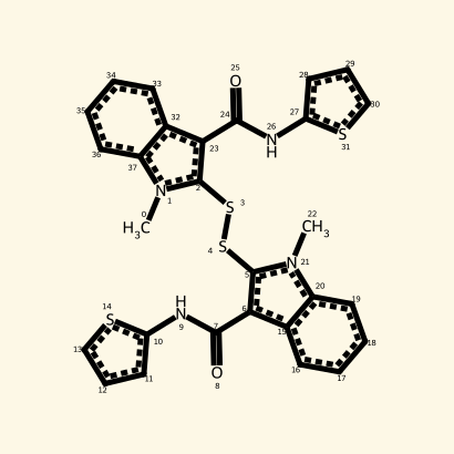 Cn1c(SSc2c(C(=O)Nc3cccs3)c3ccccc3n2C)c(C(=O)Nc2cccs2)c2ccccc21